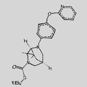 CC(C)(C)OC(=O)N1C[C@@H]2CN(c3ccc(Oc4ccccn4)cc3)[C@H](C1)C(C)(C)C2